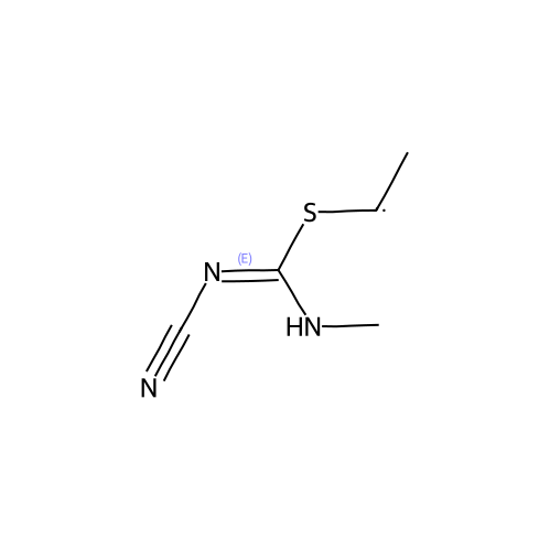 C[CH]S/C(=N/C#N)NC